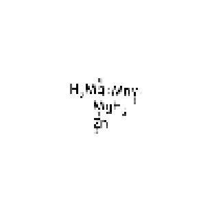 [MgH2].[MgH2].[Mn].[Y].[Zn]